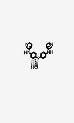 Cl.Cl.Cl.Cl.c1cc(Sc2ccc(NC3CN4CCC3CC4)cc2)ccc1NC1CN2CCC1CC2